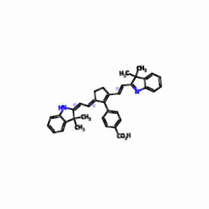 CC1(C)C(/C=C/C2=C(c3ccc(C(=O)O)cc3)C(=C/C=C3/Nc4ccccc4C3(C)C)/CC2)=Nc2ccccc21